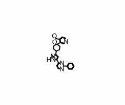 O=C1OC2(CCC(c3cc(-c4ccnc(-c5ccccc5)n4)[nH]n3)CC2)c2cnccc21